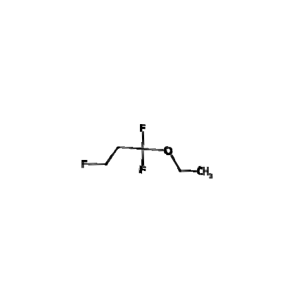 CCOC(F)(F)CCF